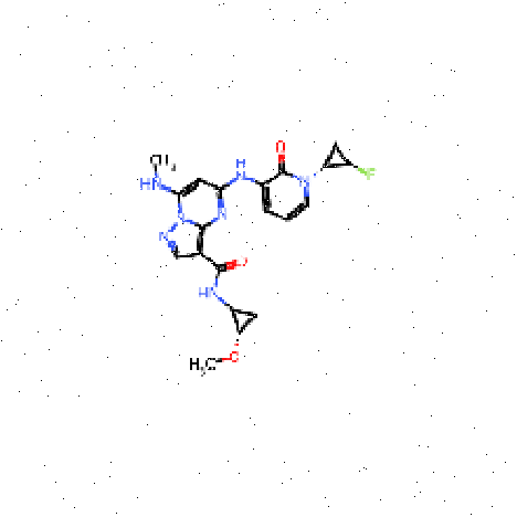 CNc1cc(Nc2cccn([C@@H]3C[C@H]3F)c2=O)nc2c(C(=O)N[C@H]3C[C@@H]3OC)cnn12